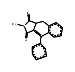 CN1C(=O)C2=C(c3ccccc3)c3ccccc3CC2C1=O